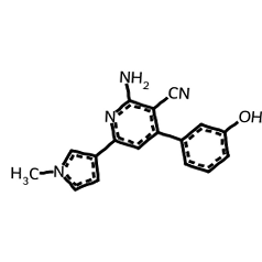 Cn1ccc(-c2cc(-c3cccc(O)c3)c(C#N)c(N)n2)c1